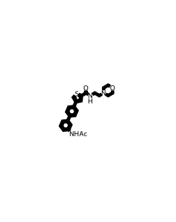 CC(=O)Nc1cccc(-c2ccc(-c3csc(C(=O)NCCN4CCOCC4)c3)cc2)c1